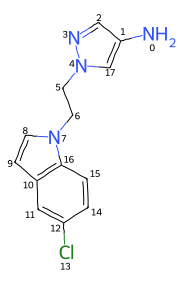 Nc1cnn(CCn2ccc3cc(Cl)ccc32)c1